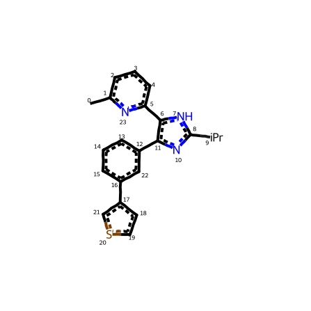 Cc1cccc(-c2[nH]c(C(C)C)nc2-c2cccc(-c3ccsc3)c2)n1